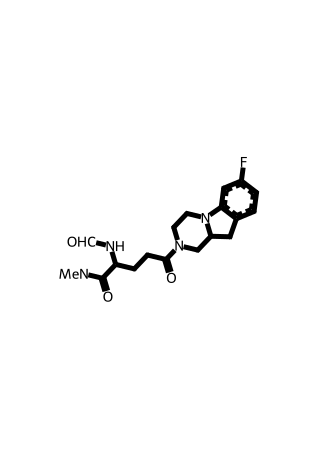 CNC(=O)C(CCC(=O)N1CCN2c3cc(F)ccc3CC2C1)NC=O